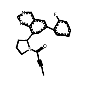 CC#CC(=O)N1CCCC1c1cc(-c2ccccc2F)cc2cncnc12